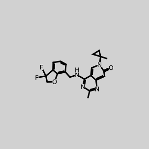 Cc1nc(NCc2cccc3c2OCC3(F)F)c2cn(C3(C)CC3)c(=O)cc2n1